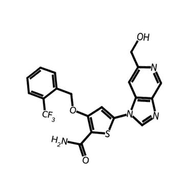 NC(=O)c1sc(-n2cnc3cnc(CO)cc32)cc1OCc1ccccc1C(F)(F)F